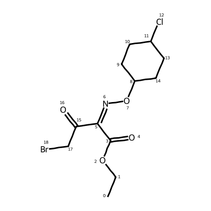 CCOC(=O)C(=NOC1CCC(Cl)CC1)C(=O)CBr